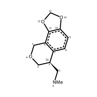 CNC[C@H]1COCc2c1ccc1c2OCO1